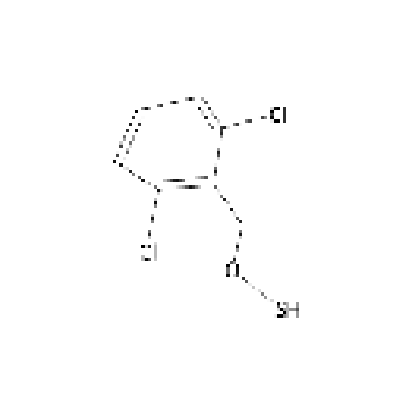 SOCc1c(Cl)cccc1Cl